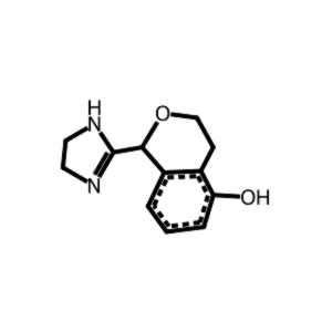 Oc1cccc2c1CCOC2C1=NCCN1